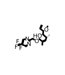 C=C[C@H](OC)[C@@H](O)[C@H](C)/C=C(/C)COCc1ncc(C(F)(F)F)cn1